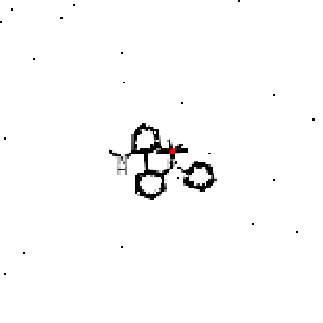 CNc1cccc(NC)c1-c1ccccc1P(c1ccccc1)C(C)(C)C